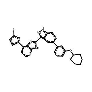 Fc1ccc(-c2ccnc3[nH]c(-c4n[nH]c5cnc(-c6cncc(OC7CCCCC7)c6)cc45)nc23)s1